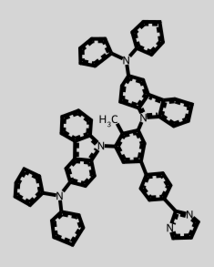 Cc1c(-n2c3ccccc3c3cc(N(c4ccccc4)c4ccccc4)ccc32)cc(-c2ccc(-c3ncccn3)cc2)cc1-n1c2ccccc2c2cc(N(c3ccccc3)c3ccccc3)ccc21